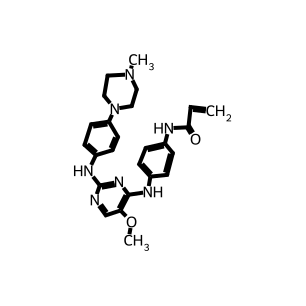 C=CC(=O)Nc1ccc(Nc2nc(Nc3ccc(N4CCN(C)CC4)cc3)ncc2OC)cc1